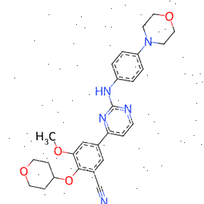 COc1cc(-c2ccnc(Nc3ccc(N4CCOCC4)cc3)n2)cc(C#N)c1OC1CCOCC1